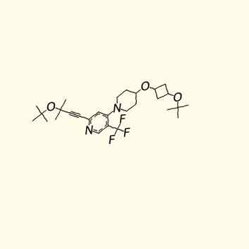 CC(C)(C)OC1CC(OC2CCN(c3cc(C#CC(C)(C)OC(C)(C)C)ncc3C(F)(F)F)CC2)C1